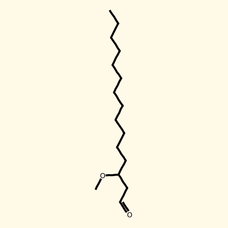 CCCCCCCCCCCCC(CC=O)OC